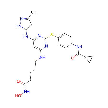 CC1=NNC(Nc2cc(NCCCCC(=O)NO)nc(Sc3ccc(NC(=O)C4CC4)cc3)n2)C1